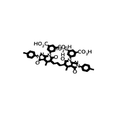 Cc1ccc(N2N=c3c(c(C)c(=CC=Cc4c(C)c5c(=O)n(-c6ccc(C)cc6)nc-5n(-c5cc(C(=O)O)cc(C(=O)O)c5)c4O)c(=O)n3-c3cc(C(=O)O)cc(C(=O)O)c3)C2=O)cc1